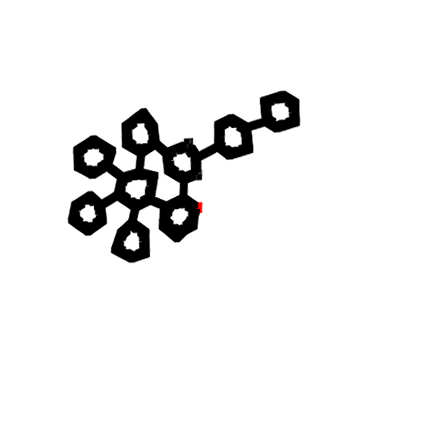 c1ccc(-c2ccc(-c3nc(-c4ccccc4)cc(-c4ccccc4-c4cc(-c5ccccc5)c(-c5ccccc5)c(-c5ccccc5)c4-c4ccccc4)n3)cc2)cc1